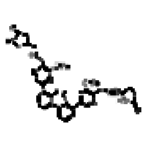 COc1nc(-c2cccc(-c3cccc(-c4cnc(CNC[C@H]5CCC(=O)N5)c(OC)n4)c3Cl)c2Cl)cnc1CNCC1CNC(=O)C1